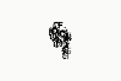 CC(NC(=O)C(C)(C)Oc1ccc(C(F)(F)F)cn1)C(Cc1ccc(Cl)cc1)n1ncc2ccccc21